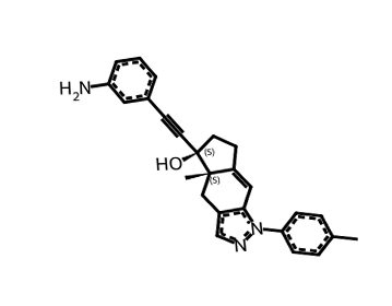 Cc1ccc(-n2ncc3c2C=C2CC[C@@](O)(C#Cc4cccc(N)c4)[C@@]2(C)C3)cc1